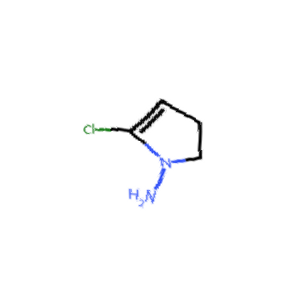 NN1CCC=C1Cl